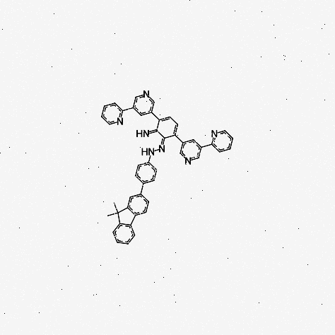 CC1(C)c2ccccc2-c2ccc(-c3ccc(N/N=C4\C(=N)C(c5cncc(-c6ccccn6)c5)=CC=C4c4cncc(-c5ccccn5)c4)cc3)cc21